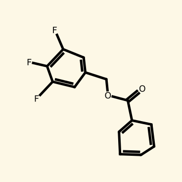 O=C(OCc1cc(F)c(F)c(F)c1)c1ccccc1